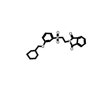 O=C1c2ccccc2C(=O)N1CCS(=O)(=O)c1cccc(OCC2CCCCC2)c1